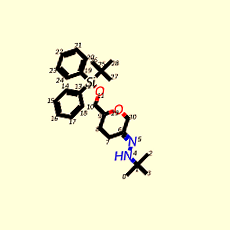 CC(C)(C)NN=C1CCC(CO[Si](c2ccccc2)(c2ccccc2)C(C)(C)C)OC1